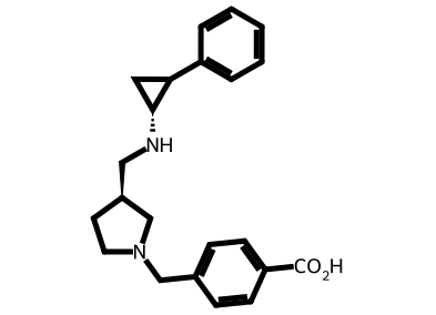 O=C(O)c1ccc(CN2CC[C@@H](CN[C@@H]3CC3c3ccccc3)C2)cc1